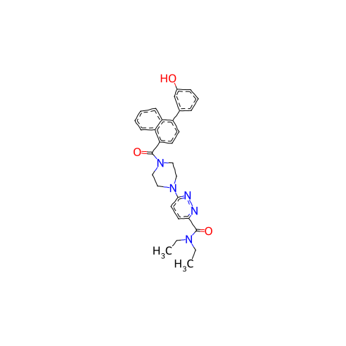 CCN(CC)C(=O)c1ccc(N2CCN(C(=O)c3ccc(-c4cccc(O)c4)c4ccccc34)CC2)nn1